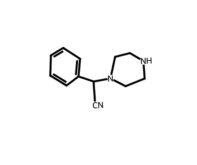 N#CC(c1ccccc1)N1CCNCC1